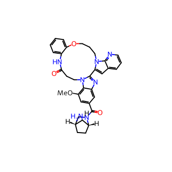 COc1cc(C(=O)N2C[C@H]3CC[C@@H]2[C@@H]3N)cc2nc3n(c12)CCC(=O)Nc1ccccc1OCCCn1c-3cc2cccnc21